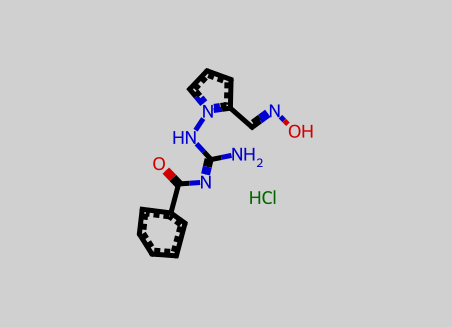 Cl.NC(=NC(=O)c1ccccc1)Nn1cccc1/C=N/O